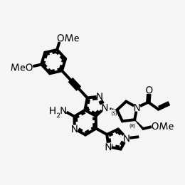 C=CC(=O)N1C[C@@H](n2nc(C#Cc3cc(OC)cc(OC)c3)c3c(N)ncc(-c4cn(C)cn4)c32)C[C@@H]1COC